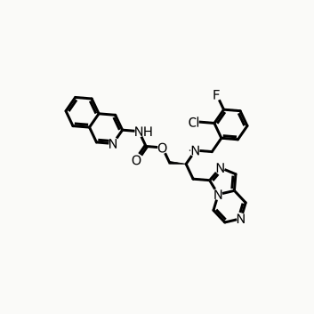 O=C(Nc1cc2ccccc2cn1)OC[C@H](Cc1ncc2cnccn12)[N]Cc1cccc(F)c1Cl